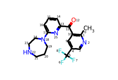 Cc1ncc(C(F)(F)F)cc1C(=O)c1cccc(N2CCCNCC2)n1